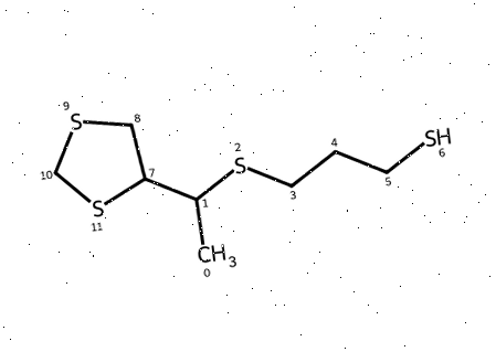 CC(SCCCS)C1CSCS1